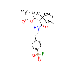 CCC(OC=O)C(C(=O)NCCc1ccc(S(=O)(=O)F)cc1)C(C)(C)C